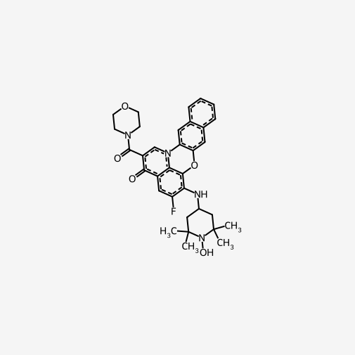 CC1(C)CC(Nc2c(F)cc3c(=O)c(C(=O)N4CCOCC4)cn4c3c2Oc2cc3ccccc3cc2-4)CC(C)(C)N1O